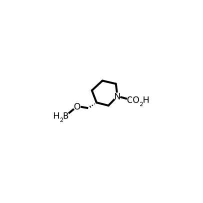 BOC[C@@H]1CCCN(C(=O)O)C1